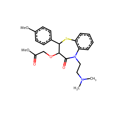 COC(=O)COC1C(=O)N(CCN(C)C)c2ccccc2SC1c1ccc(OC)cc1